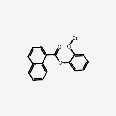 CCOc1ccccc1OC(=O)c1cccc2ccccc12